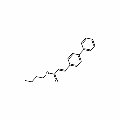 CCCCOC(=O)C=Cc1ccc(-c2ccccc2)cc1